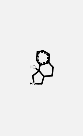 OC12CNCC1CCc1ccccc12